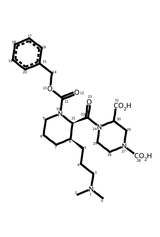 CN(C)CCC[C@H]1CCCN(C(=O)OCc2ccccc2)[C@H]1C(=O)N1CCN(C(=O)O)CC1C(=O)O